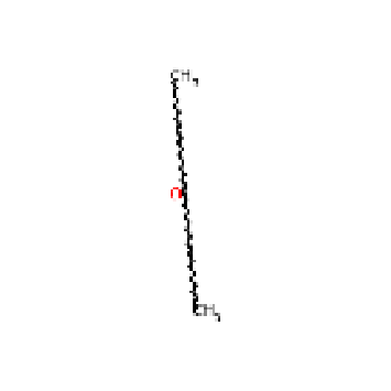 CCCCCCCCCCC=CCCCCCCCC(=O)CCCCCCCC=CCCCCCCCCCC